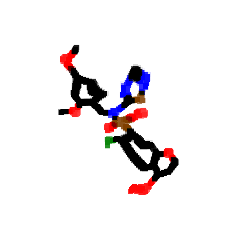 COc1ccc(CN(c2ncns2)S(=O)(=O)c2cc3c(cc2F)C(O)CCO3)c(OC)c1